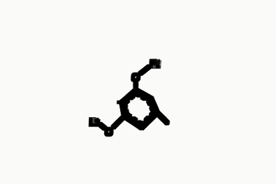 CCOc1[c]c(OCC)cc(C)c1